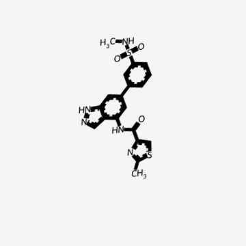 CNS(=O)(=O)c1cccc(-c2cc(NC(=O)c3csc(C)n3)c3cn[nH]c3c2)c1